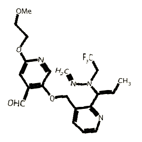 C=NN(CC(F)(F)F)/C(=C\C)c1ncccc1COc1cnc(OCCOC)cc1C=O